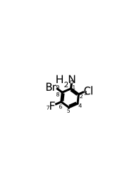 Nc1c(Cl)ccc(F)c1Br